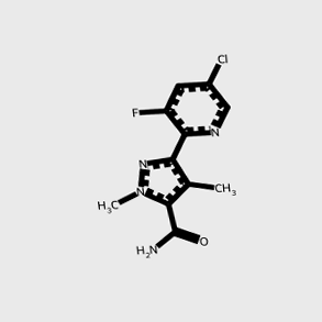 Cc1c(-c2ncc(Cl)cc2F)nn(C)c1C(N)=O